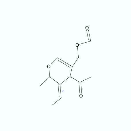 C/C=C1\C(C)OC=C(COC=O)C1C(C)=O